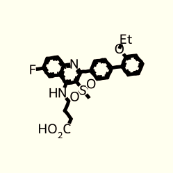 CCOc1ccccc1-c1ccc(-c2nc3ccc(F)cc3c(NCCCC(=O)O)c2S(C)(=O)=O)cc1